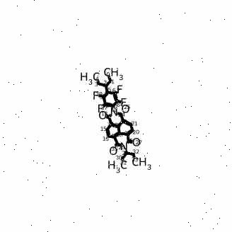 CCC(CC)c1c(F)c(F)c(N2C(=O)c3ccc4c5c(ccc(c35)C2=O)C(=O)N(C(CC)CC)C4=O)c(F)c1F